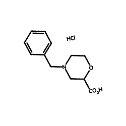 Cl.O=C(O)C1CN(Cc2ccccc2)CCO1